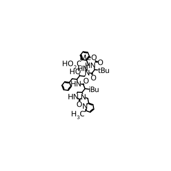 CCC(C)C(C(=O)NC(Cc1ccccc1)C(O)CN(NCc1ccccc1C(=O)O)C(=O)C(NC(=O)OC)C(C)(C)C)C1CNC(=O)N1Cc1cccc(C)n1